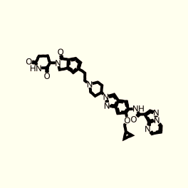 O=C1CCC(N2Cc3cc(CCN4CCC(n5cc6cc(NC(=O)c7cnn8cccnc78)c(OCC7CC7)cc6n5)CC4)ccc3C2=O)C(=O)N1